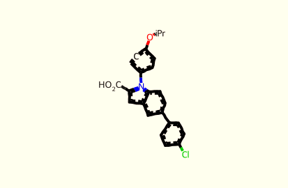 CC(C)Oc1ccc(-n2c(C(=O)O)cc3cc(-c4ccc(Cl)cc4)ccc32)cc1